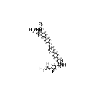 CNCc1ccc(-c2n[nH]c3ncc(-c4ccc(C5CCN(CCC6CCN(c7ccc(N(CCC=O)C(=O)NC)c(F)c7)CC6)CC5)cc4)cc23)cc1F